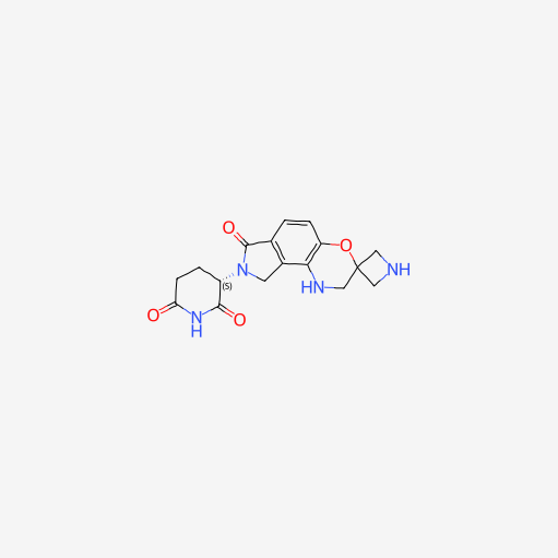 O=C1CC[C@H](N2Cc3c(ccc4c3NCC3(CNC3)O4)C2=O)C(=O)N1